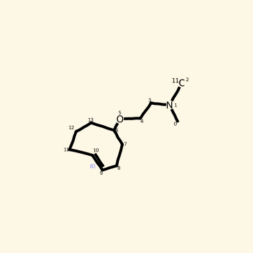 CN([11CH3])CCOC1CC/C=C/CCC1